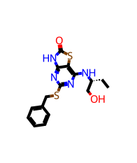 CC[C@H](CO)Nc1nc(SCc2ccccc2)nc2[nH]c(=O)sc12